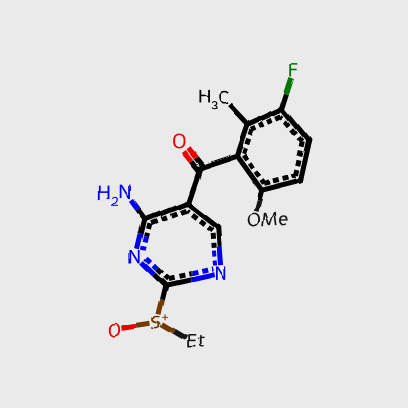 CC[S+]([O-])c1ncc(C(=O)c2c(OC)ccc(F)c2C)c(N)n1